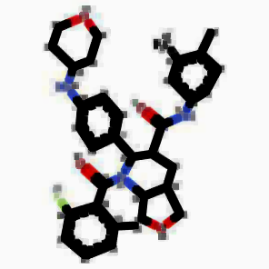 Cc1ccc(NC(=O)C2CC3COCC3N(C(=O)c3c(C)cccc3F)C2c2ccc(NC3CCOCC3)cc2)cc1C(F)(F)F